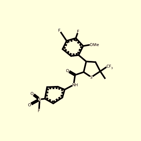 COc1c(C2CC(C)(C(F)(F)F)SC2C(=O)Nc2ccc(S(=O)(=O)F)cc2)ccc(F)c1F